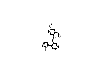 COc1cc(C=O)c(OCc2cnccc2-c2ccn[nH]2)cn1